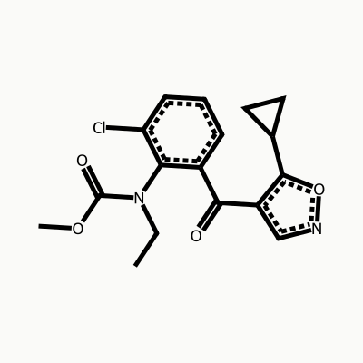 CCN(C(=O)OC)c1c(Cl)cccc1C(=O)c1cnoc1C1CC1